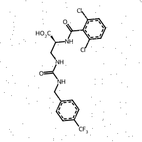 O=C(NCc1ccc(C(F)(F)F)cc1)NC[C@H](NC(=O)c1c(Cl)cccc1Cl)C(=O)O